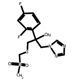 CS(=O)(=O)CSCC(O)(Cn1cncn1)c1ccc(F)cc1F